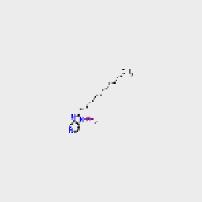 CCCCCCCCCCCCCc1nc2cnccc2n1P